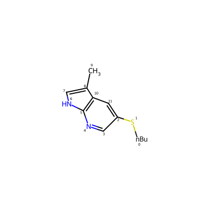 CCCCSc1cnc2[nH]cc(C)c2c1